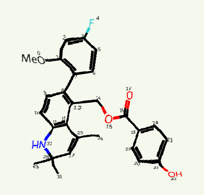 COc1cc(F)ccc1-c1ccc2c(c1COC(=O)c1ccc(O)cc1)C(C)=CC(C)(C)N2